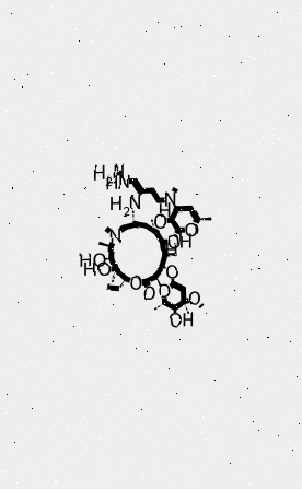 CC[C@H]1OC(=O)[C@H](C)[C@@H](O[C@H]2C[C@@](C)(OC)[C@@H](O)[C@H](C)O2)[C@H](C)[C@H]2O[C@@H]3O[C@H](C)C[C@H](N(C)CC/C(N)=C/NN)[C@H]3O[C@]2(C)C[C@@H](C)CN(C)[C@H](C)[C@@H](O)[C@]1(C)O